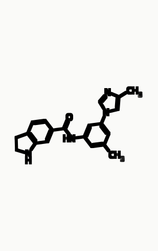 Cc1cc(NC(=O)c2ccc3c(c2)NCC3)cc(-n2cnc(C)c2)c1